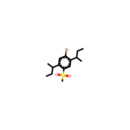 CCC(C)c1cc(S(C)(=O)=O)c(C(C)CC)cc1Br